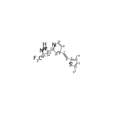 Cc1cc(C)c(C#Cc2ccnc(-c3cc(C(F)(F)F)n[nH]3)c2)s1